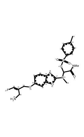 CNC(=O)C(OS(=O)(=O)c1ccc(C)cc1)N(C)c1nc2ccc(OC/C(=C/F)CN)cc2o1